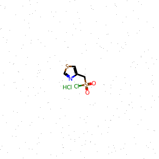 Cl.O=S(=O)(Cl)Cc1cscn1